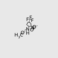 COCCNc1ccc(C(F)(F)F)cc1[N+](=O)[O-]